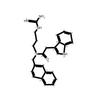 N=C(N)NCCCN(Cc1ccc2ccccc2c1)C(=O)Cc1c[nH]c2ccccc12